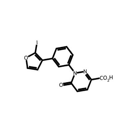 O=C(O)c1ccc(=O)n(-c2cccc(-c3ccoc3I)c2)n1